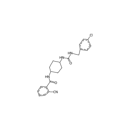 N#Cc1ccccc1C(=O)NC1CCC(NC(=O)NCc2ccc(Cl)cc2)CC1